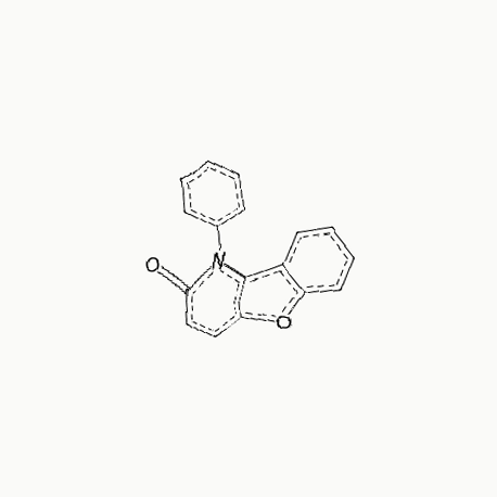 O=c1ccc2oc3ccccc3c2n1-c1ccccc1